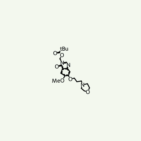 COc1cc2c(=O)n(COC(=O)C(C)(C)C)cnc2cc1OCCCN1CCOCC1